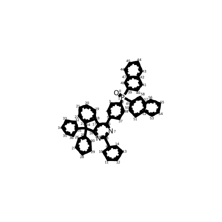 O=P(c1ccc(-c2nc(-c3ccccc3)nc3c2-c2ccccc2C3(c2ccccc2)c2ccccc2)cc1)(c1ccc2ccccc2c1)c1ccc2ccccc2c1